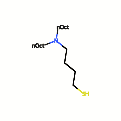 CCCCCCCCN(CCCCS)CCCCCCCC